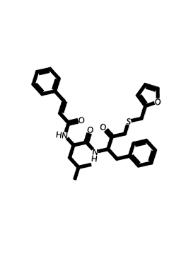 CC(C)CC(NC(=O)C=Cc1ccccc1)C(=O)NC(Cc1ccccc1)C(=O)CSCc1ccco1